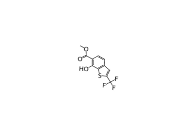 COC(=O)c1ccc2cc(C(F)(F)F)sc2c1O